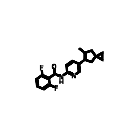 CC1=C(c2ccc(NC(=O)c3c(F)cccc3F)nc2)CC2(CC2)C1